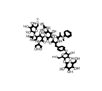 CC(C(=O)NC(Cc1ccc(OC2OC(CO)C(OC3OC(CO)C(O)C(O)C3O)C(O)C2O)cc1)C(=O)NC(C(=O)NC(C(=O)NC([C]=O)CO)C(O)C1CNC(=N)N1C1OC(CO)C(O)C(O)C1O)C(O)C1CNC(=N)N1)N(C)c1ccccc1